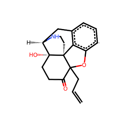 C=CCC12Oc3[c]ccc4c3[C@@]13CCN[C@H](C4)[C@]3(O)CCC2=O